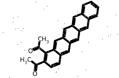 CC(=O)c1ccc2cc3cc4cc5ccccc5cc4cc3cc2c1C(C)=O